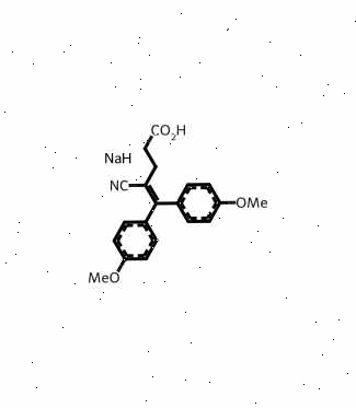 COc1ccc(C(=C(C#N)CCC(=O)O)c2ccc(OC)cc2)cc1.[NaH]